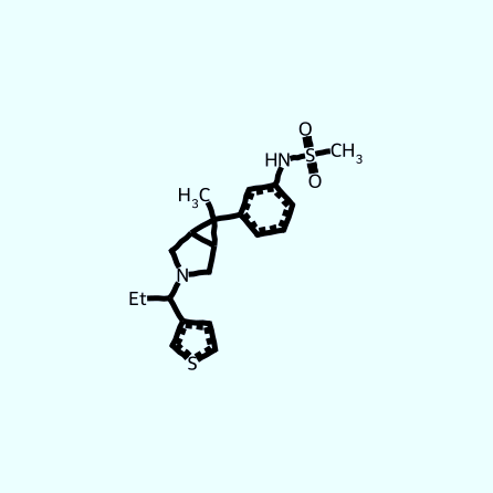 CCC(c1ccsc1)N1CC2C(C1)C2(C)c1cccc(NS(C)(=O)=O)c1